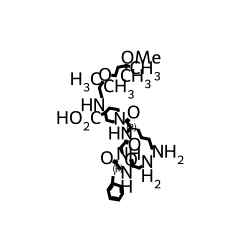 COC(C)(C)CCOC(C)(C)CCNC1(C(=O)O)CCN(C(=O)[C@@H](CCCCN)NC(=O)CNC(=O)[C@@H](Cc2ccccc2)NC(=O)CN)CC1